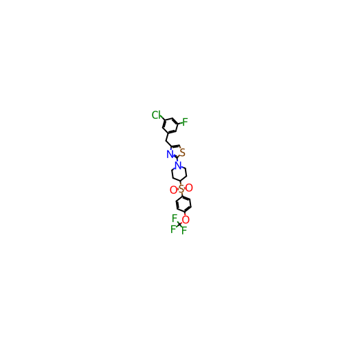 O=S(=O)(c1ccc(OC(F)(F)F)cc1)C1CCN(c2nc(Cc3cc(F)cc(Cl)c3)cs2)CC1